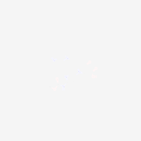 Cc1cc(NC(=O)OC(C)(C)C)ncc1-n1cc(C(=O)O)c(=O)c2cc(Cl)c(N3Cc4cccnc4C3)cc21